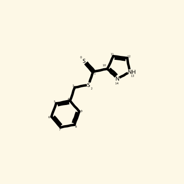 S=C(SCc1ccccc1)c1cc[nH]n1